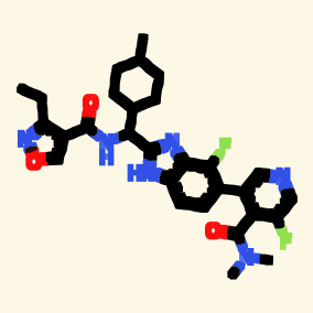 CCc1nocc1C(=O)NC(c1nc2c(F)c(-c3cncc(F)c3C(=O)N(C)C)ccc2[nH]1)C1CCC(C)CC1